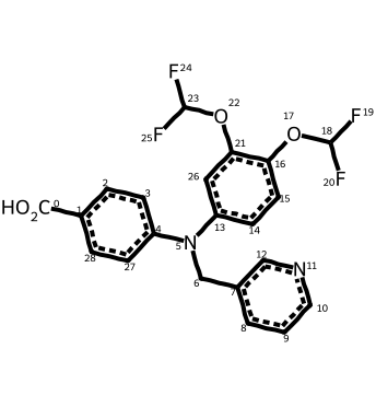 O=C(O)c1ccc(N(Cc2cccnc2)c2ccc(OC(F)F)c(OC(F)F)c2)cc1